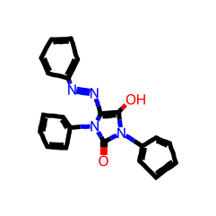 O=c1n(-c2ccccc2)c(O)c(N=Nc2ccccc2)n1-c1ccccc1